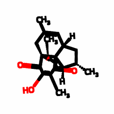 CC1=C[C@@H]2C[C@H](C)[C@H]3CC[C@H](C)[C@]4(C1)C(=O)C(O)=C(C)C(=O)C234